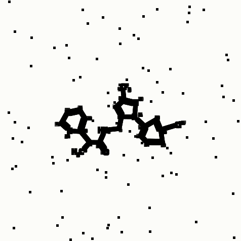 CC(C(=O)NCc1cc(C(F)(F)F)nn1-c1cccc(Cl)c1)c1ccccn1